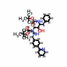 CC(C)(C)OC(=O)NC(Cc1ccccc1)C(O)CN(NCc1ccc(-c2ccccn2)cc1)C(=O)OC(C)(C)C